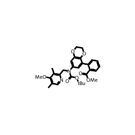 COC(=O)c1ccccc1-c1cc(N(Cc2ncc(C)c(OC)c2C)C(=O)OC(C)(C)C)cc2c1OCCO2